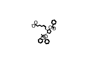 COC(=O)CCC/C=C\C[C@@H]1[C@@H](CO[Si](c2ccccc2)(c2ccccc2)C(C)(C)C)CC[C@@H]1OC(=O)c1ccccc1